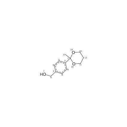 CC1(c2ccc(CO)cc2)OCCCO1